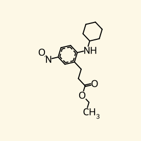 CCOC(=O)CCc1cc(N=O)ccc1NC1CCCCC1